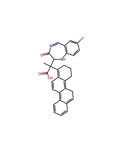 CC(C(=O)O)(C1=c2ccc3c(c2CCC1)CC=c1ccccc1=3)C1Nc2ccc(I)cc2C=NC1=O